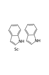 [Sc].c1ccc2[nH]ccc2c1.c1ccc2[nH]ccc2c1